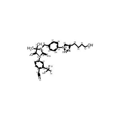 CC1(C)C(=O)N(c2ccc(C#N)c(C(F)(F)F)c2)C(=S)N1Cc1ccc(-n2cc(CCCCO)nn2)cc1